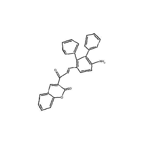 Nc1ccc(C=CC(=O)c2cc3ccccc3oc2=O)c(-c2ccccc2)c1-c1ccccc1